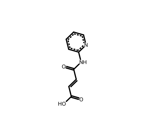 O=C(O)C=CC(=O)Nc1ccccn1